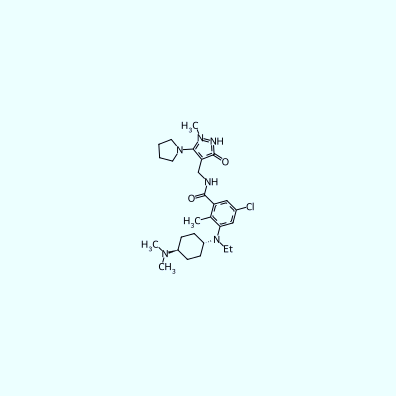 CCN(c1cc(Cl)cc(C(=O)NCc2c(N3CCCC3)n(C)[nH]c2=O)c1C)[C@H]1CC[C@H](N(C)C)CC1